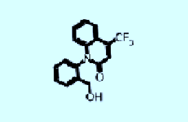 O=c1cc(C(F)(F)F)c2ccccc2n1-c1ccccc1CO